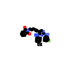 N#Cc1ccc(Nc2nc(Nc3cccc(F)c3)ncc2C#CCCCN2C(=O)c3ccccc3C2=O)cc1